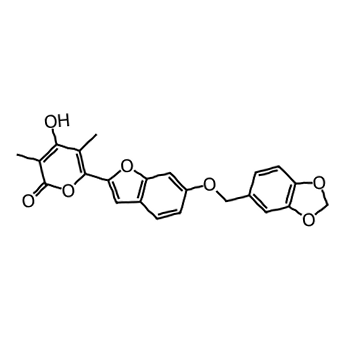 Cc1c(-c2cc3ccc(OCc4ccc5c(c4)OCO5)cc3o2)oc(=O)c(C)c1O